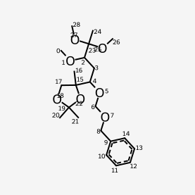 COC(CC(OCOCc1ccccc1)C1(C)COC(C)(C)O1)C(C)(OC)OC